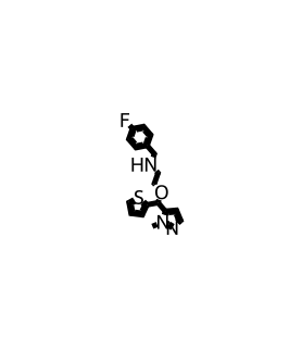 Cn1nccc1C(OCCNCc1ccc(F)cc1)c1cccs1